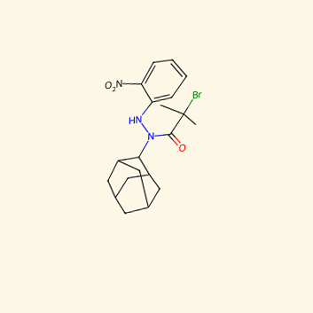 CC(C)(Br)C(=O)N(Nc1ccccc1[N+](=O)[O-])C1C2CC3CC(C2)CC1C3